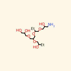 CCC(O)COC(COCC(O)CO)COC(CC)COCC(O)CN